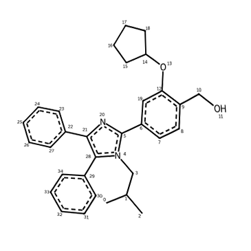 CC(C)Cn1c(-c2ccc(CO)c(OC3CCCC3)c2)nc(-c2ccccc2)c1-c1ccccc1